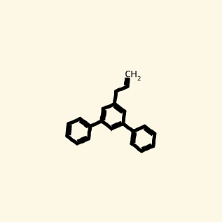 C=CCc1cc(-c2ccccc2)[c]c(-c2ccccc2)c1